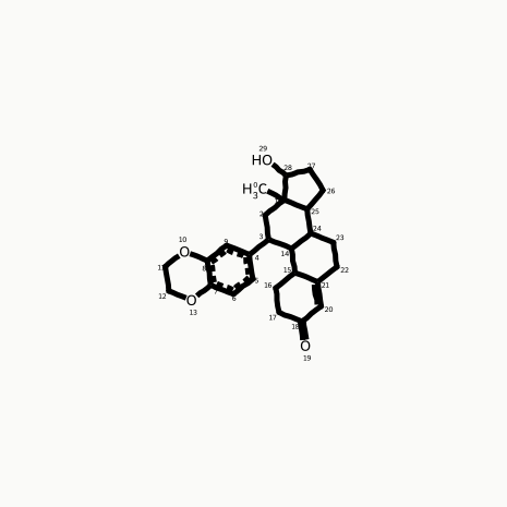 CC12CC(c3ccc4c(c3)OCCO4)C3C4CCC(=O)C=C4CCC3C1CCC2O